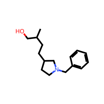 CC(CO)CCC1CCN(Cc2ccccc2)C1